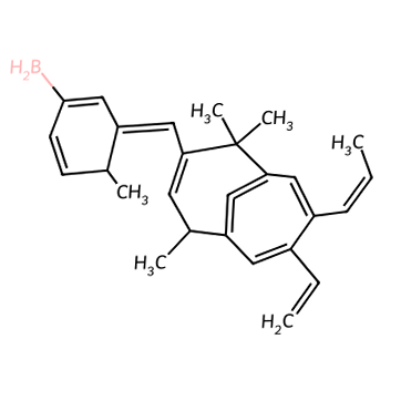 BC1=C/C(=C/C2=CC(C)C3=C=C(C=C(/C=C\C)C(C=C)=C3)C2(C)C)C(C)C=C1